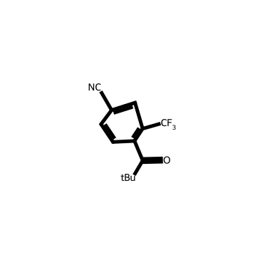 CC(C)(C)C(=O)c1ccc(C#N)cc1C(F)(F)F